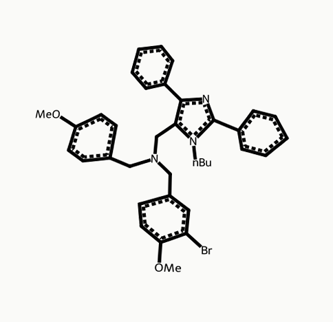 CCCCn1c(-c2ccccc2)nc(-c2ccccc2)c1CN(Cc1ccc(OC)cc1)Cc1ccc(OC)c(Br)c1